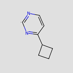 [c]1nccc(C2CCC2)n1